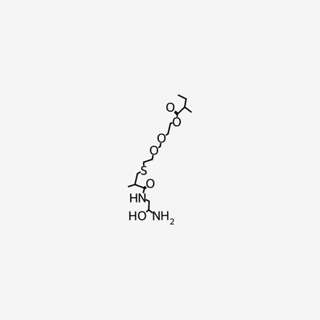 CCC(C)C(=O)OCCOCOCCSCC(C)C(=O)NCC(N)O